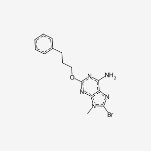 Cn1c(Br)nc2c(N)nc(OCCCc3ccccc3)nc21